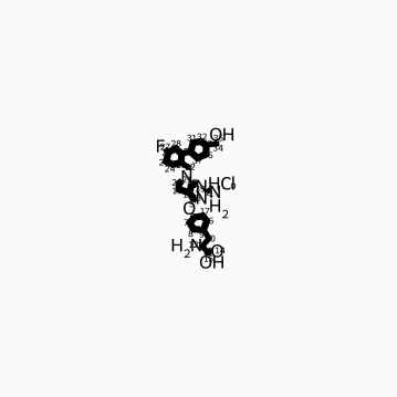 Cl.Nc1nc(Oc2ccc(C[C@H](N)C(=O)O)cc2)c2ccn(Cc3ccc(F)cc3-c3ccc(CO)cc3)c2n1